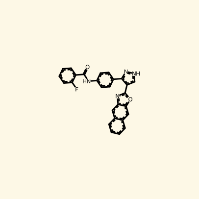 O=C(Nc1ccc(-c2n[nH]cc2-c2nc3cc4ccccc4cc3o2)cc1)c1ccccc1F